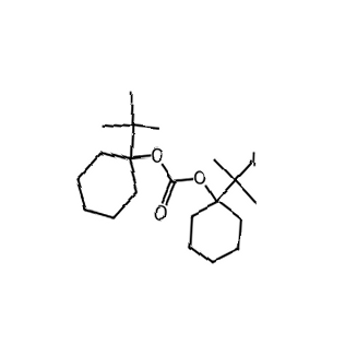 CC(C)(I)C1(OC(=O)OC2(C(C)(C)I)CCCCC2)CCCCC1